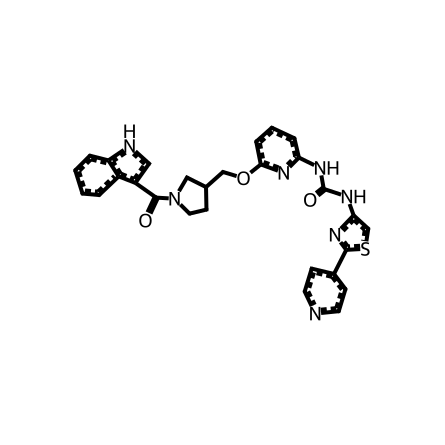 O=C(Nc1cccc(OCC2CCN(C(=O)c3c[nH]c4ccccc34)C2)n1)Nc1csc(-c2ccncc2)n1